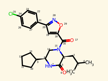 CC(C)C[C@H]1C(=O)N[C@@H](C2CCCC2)CN1C(=O)c1cc(-c2ccc(Cl)cc2)no1